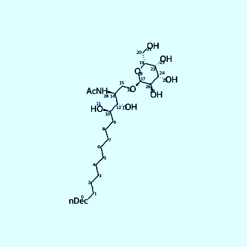 CCCCCCCCCCCCCCCCCCC[C@@H](O)[C@@H](O)[C@H](CO[C@H]1O[C@H](CO)[C@H](O)[C@H](O)[C@H]1O)NC(C)=O